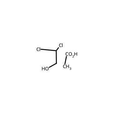 CC(=O)O.OCC(Cl)Cl